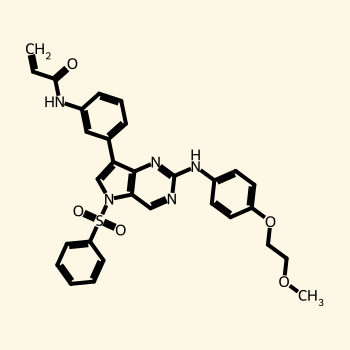 C=CC(=O)Nc1cccc(-c2cn(S(=O)(=O)c3ccccc3)c3cnc(Nc4ccc(OCCOC)cc4)nc23)c1